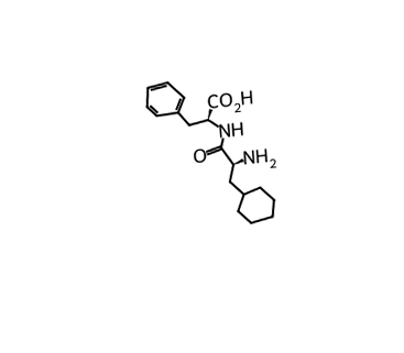 N[C@@H](CC1CCCCC1)C(=O)N[C@@H](Cc1ccccc1)C(=O)O